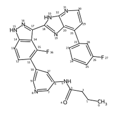 CCCC(=O)Nc1cncc(-c2ccc3[nH]nc(-c4nc5c(-c6cccc(F)c6)ccnc5[nH]4)c3c2F)c1